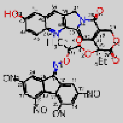 CC[C@@]1(OC(=O)[C@H](C)ON=C2c3cc(N=O)cc(N=O)c3-c3c(N=O)cc(N=O)cc32)C(=O)OCc2c1cc1n(c2=O)Cc2cc3cc(O)ccc3nc2-1